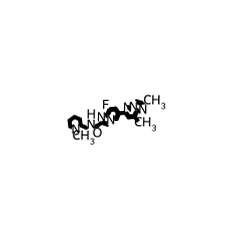 Cc1cn2nc(-c3cc(F)c4nc(C(=O)NCC5CCCCN5C)cn4c3)cc(C)c2n1